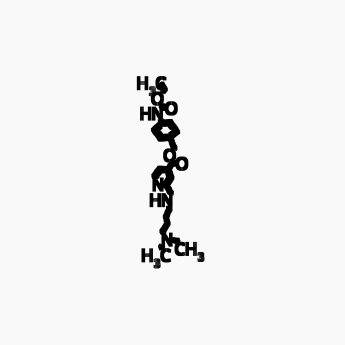 CCOC(=O)Nc1ccc(COC(=O)c2ccnc(CNCCCCN(CC)CC)c2)cc1